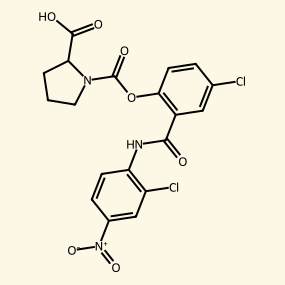 O=C(Nc1ccc([N+](=O)[O-])cc1Cl)c1cc(Cl)ccc1OC(=O)N1CCCC1C(=O)O